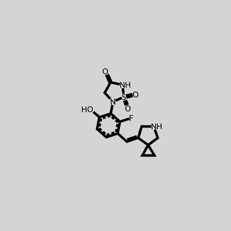 O=C1CN(c2c(O)ccc(/C=C3\CNCC34CC4)c2F)S(=O)(=O)N1